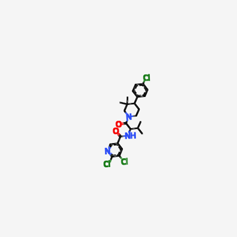 CC(C)[C@@H](NC(=O)c1cnc(Cl)c(Cl)c1)C(=O)N1CCC(c2ccc(Cl)cc2)C(C)(C)C1